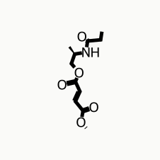 CCC(=O)N[C@H](C)COC(=O)/C=C/C(=O)OC